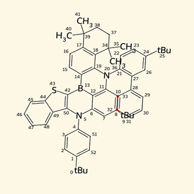 CC(C)(C)c1ccc(N2c3cc(C(C)(C)C)cc4c3B(c3ccc5c(c3N4c3ccc(C(C)(C)C)cc3-c3ccccc3)C(C)(C)CCC5(C)C)c3sc4ccccc4c32)cc1